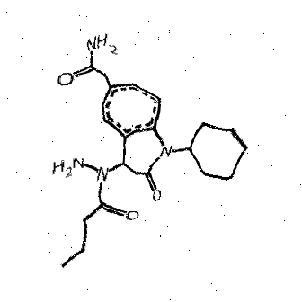 CCCC(=O)N(N)C1C(=O)N(C2CCCCC2)c2ccc(C(N)=O)cc21